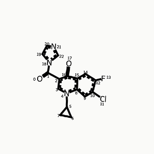 O=C(c1cn(C2CC2)c2cc(Cl)c(F)cc2c1=O)n1ccnc1